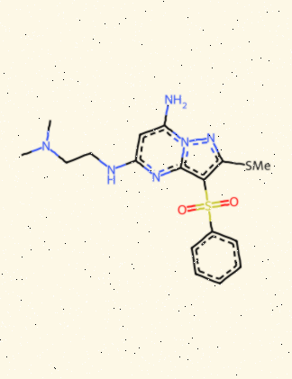 CSc1nn2c(N)cc(NCCN(C)C)nc2c1S(=O)(=O)c1ccccc1